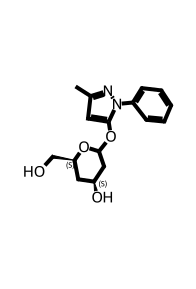 Cc1cc(OC2C[C@@H](O)C[C@@H](CO)O2)n(-c2ccccc2)n1